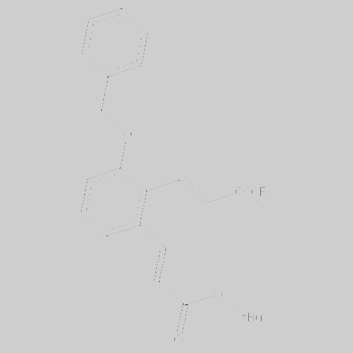 CCOC(=O)C=Cc1c(C=CC(=O)OC(C)(C)C)cccc1OCc1ccccc1